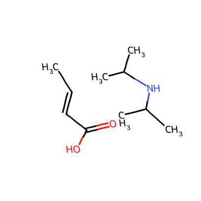 C/C=C/C(=O)O.CC(C)NC(C)C